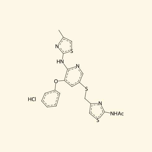 CC(=O)Nc1nc(CSc2cnc(Nc3nc(C)cs3)c(Oc3ccccc3)c2)cs1.Cl